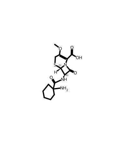 COC1=C(C(=O)O)N2C(=O)[C@@H](NC(=O)C3(N)CCCCC3)[C@@H]2SC1